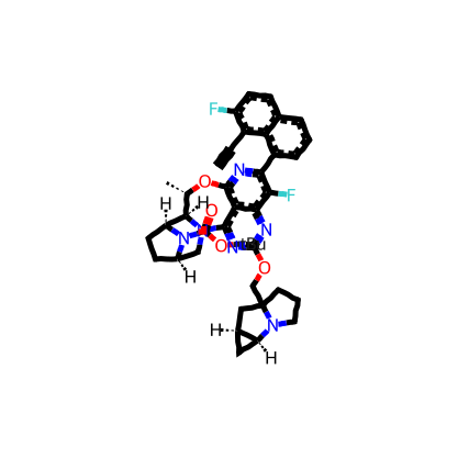 C#Cc1c(F)ccc2cccc(-c3nc4c5c(nc(OCC67CCCN6[C@H]6C[C@H]6C7)nc5c3F)N3C[C@H]5CC[C@@H]([C@H]3[C@H](C)O4)N5C(=O)OC(C)(C)C)c12